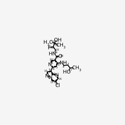 CC(O)CCNc1cc(-c2cnn3cc(Cl)cnc23)ncc1C(=O)NCC(F)C(C)(C)O